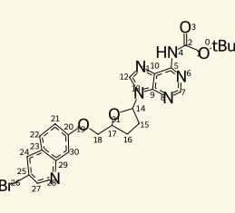 CC(C)(C)OC(=O)Nc1ncnc2c1ncn2C1CCC(COc2ccc3cc(Br)cnc3c2)O1